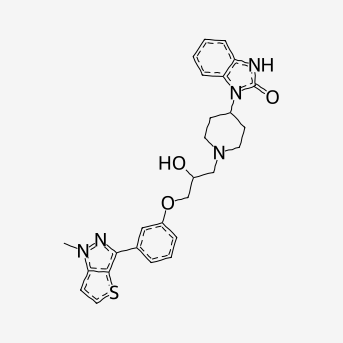 Cn1nc(-c2cccc(OCC(O)CN3CCC(n4c(=O)[nH]c5ccccc54)CC3)c2)c2sccc21